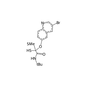 CSC(S)(Oc1ccc2ncc(Br)cc2c1)C(=O)NC(C)(C)C